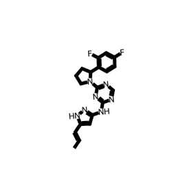 C/C=C/c1cc(Nc2ncnc(N3CCCC3c3ccc(F)cc3F)n2)n[nH]1